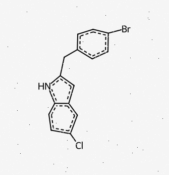 Clc1ccc2[nH]c(Cc3ccc(Br)cc3)cc2c1